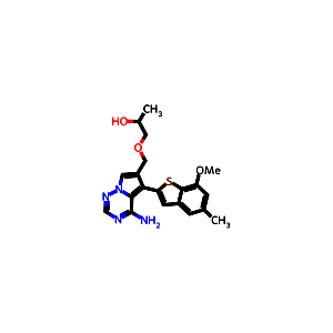 COc1cc(C)cc2cc(-c3c(COCC(C)O)cn4ncnc(N)c34)sc12